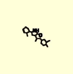 CC1C=CCCC1C1CC2C(CN1)OC(C1CCC(C)C(C)C1)C2C